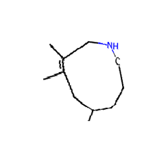 C/C1=C(\C)CC(C)CCCNC1